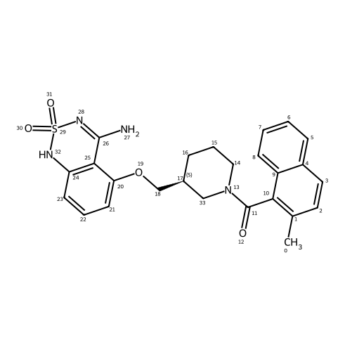 Cc1ccc2ccccc2c1C(=O)N1CCC[C@H](COc2cccc3c2C(N)=NS(=O)(=O)N3)C1